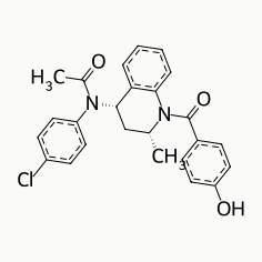 CC(=O)N(c1ccc(Cl)cc1)[C@H]1C[C@@H](C)N(C(=O)c2ccc(O)cc2)c2ccccc21